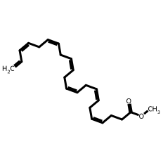 C=C/C=C\C/C=C\C/C=C\C/C=C\C/C=C\C/C=C\CCC(=O)OC